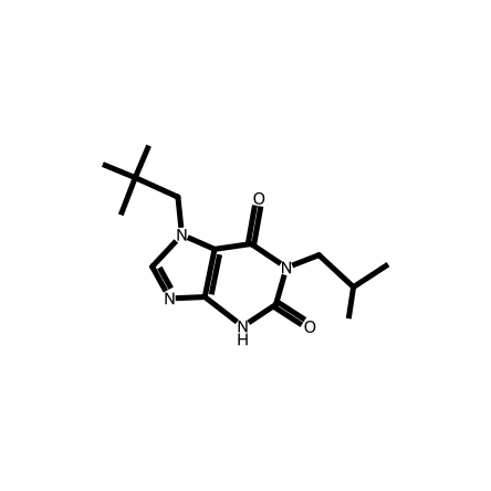 CC(C)Cn1c(=O)[nH]c2ncn(CC(C)(C)C)c2c1=O